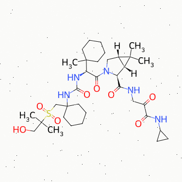 CC1([C@H](NC(=O)NC2(CS(=O)(=O)C(C)(C)CO)CCCCC2)C(=O)N2C[C@H]3[C@@H]([C@H]2C(=O)NCC(=O)C(=O)NC2CC2)C3(C)C)CCCCC1